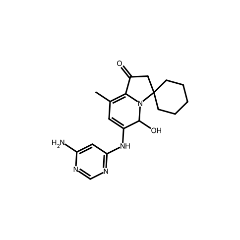 CC1=C2C(=O)CC3(CCCCC3)N2C(O)C(Nc2cc(N)ncn2)=C1